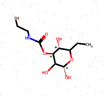 CCC1O[C@H](O)C(O)[C@@H](OC(=O)NCCS)[C@@H]1O